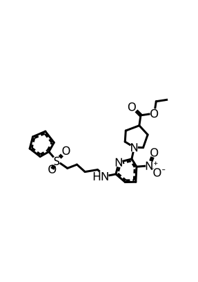 CCOC(=O)C1CCN(c2nc(NCCCCS(=O)(=O)c3ccccc3)ccc2[N+](=O)[O-])CC1